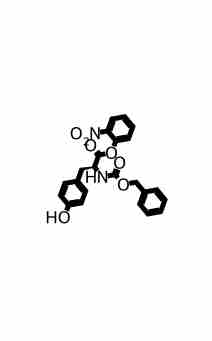 O=C(N[C@@H](Cc1ccc(O)cc1)C(=O)Oc1ccccc1[N+](=O)[O-])OCc1ccccc1